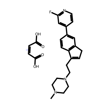 CN1CCN(CCC2=CCc3cc(-c4ccnc(F)c4)ccc32)CC1.O=C(O)/C=C\C(=O)O